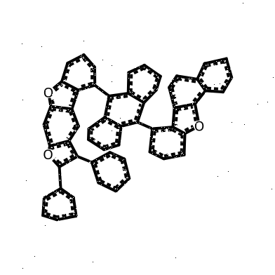 c1ccc(-c2oc3cc4oc5cccc(-c6c7ccccc7c(-c7cccc8oc9c%10ccccc%10ccc9c78)c7ccccc67)c5c4cc3c2-c2ccccc2)cc1